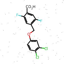 O=C(O)c1cc(F)c(COc2ccc(Cl)c(Cl)c2)cc1F